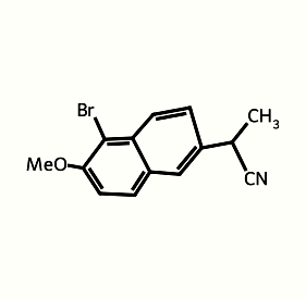 COc1ccc2cc(C(C)C#N)ccc2c1Br